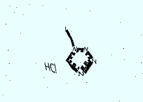 Cl.In1cnnn1